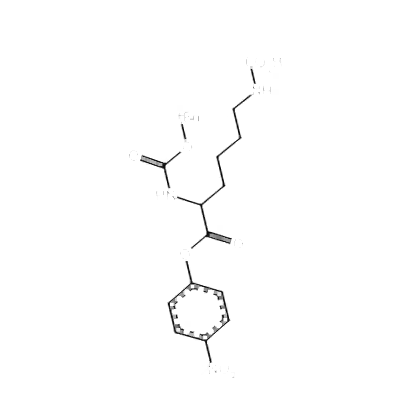 CC(C)(C)OC(=O)NC(CCCCNC(=O)O)C(=O)Oc1ccc([N+](=O)[O-])cc1